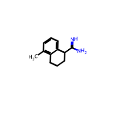 Cc1cccc2c1CCCC2C(=N)N